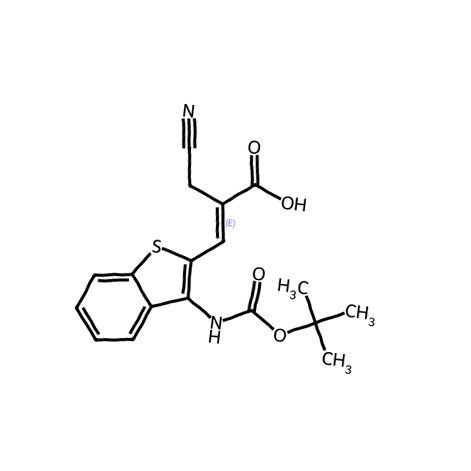 CC(C)(C)OC(=O)Nc1c(/C=C(\CC#N)C(=O)O)sc2ccccc12